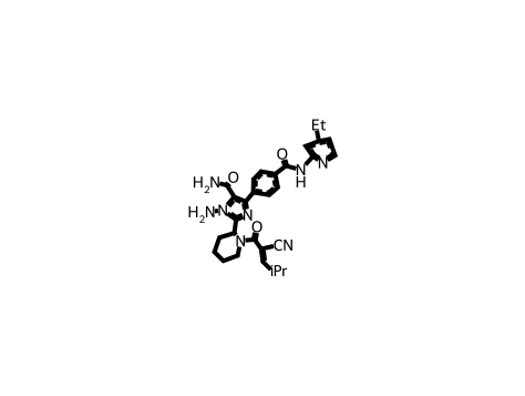 CCc1ccnc(NC(=O)c2ccc(-c3nc(C4CCCCN4C(=O)/C(C#N)=C/C(C)C)n(N)c3C(N)=O)cc2)c1